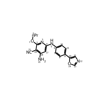 CCCOc1nc(Nc2ccc(-c3cnco3)cc2)cc(N)c1C#N